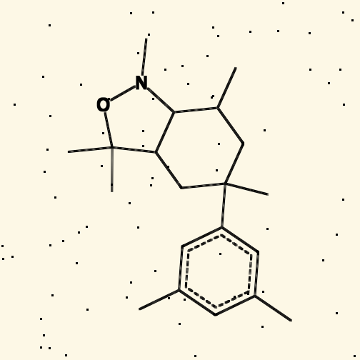 Cc1cc(C)cc(C2(C)CC(C)C3C(C2)C(C)(C)ON3C)c1